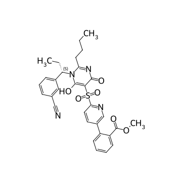 CCCCc1nc(=O)c(S(=O)(=O)c2ccc(-c3ccccc3C(=O)OC)cn2)c(O)n1[C@@H](CC)c1cccc(C#N)c1